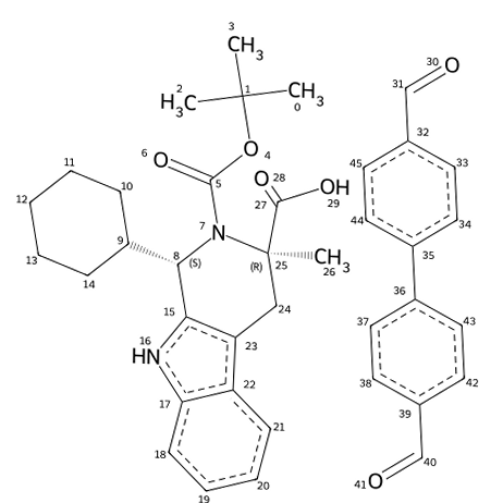 CC(C)(C)OC(=O)N1[C@@H](C2CCCCC2)c2[nH]c3ccccc3c2C[C@]1(C)C(=O)O.O=Cc1ccc(-c2ccc(C=O)cc2)cc1